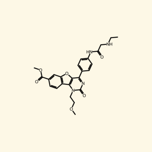 CCNCC(=O)Nc1ccc(-c2nc(=O)n(CCOC)c3c2oc2cc(C(=O)OC)ccc23)cc1